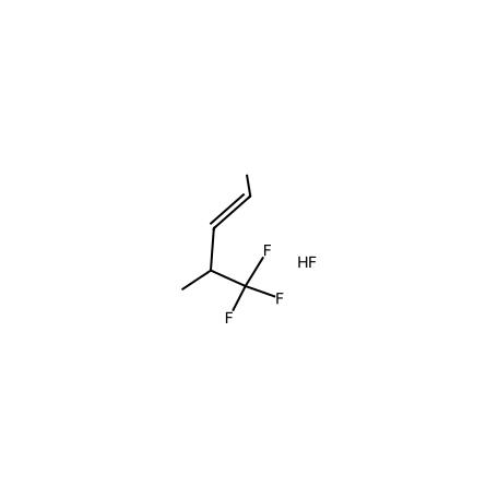 CC=CC(C)C(F)(F)F.F